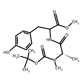 COC(=O)C(Cc1ccc(O)cc1)NC(=O)[C@H](C)N(C)C(=O)OC(C)(C)C